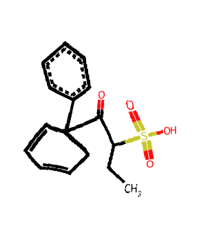 CCC(C(=O)C1(c2ccccc2)C=CC=CC1)S(=O)(=O)O